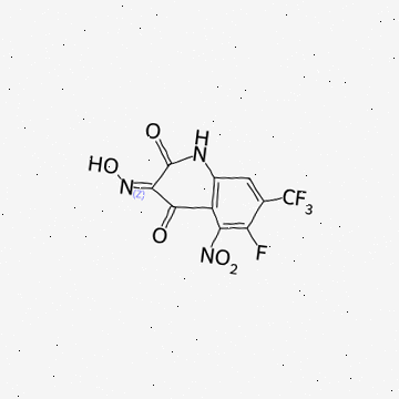 O=C1Nc2cc(C(F)(F)F)c(F)c([N+](=O)[O-])c2C(=O)/C1=N/O